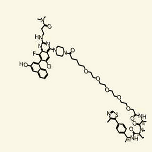 Cc1ncsc1-c1ccc([C@H](C)NC(=O)[C@@H]2CCCN2C(=O)[C@@H](NC(=O)COCCOCCOCCOCCOCCCCC(=O)N2CCN(c3nc(NCCC(=O)N(C)C)nc4c(F)c(-c5cc(O)cc6ccccc56)c(Cl)cc34)CC2)C(C)(C)C)cc1